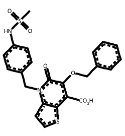 CS(=O)(=O)Nc1ccc(Cn2c(=O)c(OCc3ccccc3)c(C(=O)O)c3sccc32)cc1